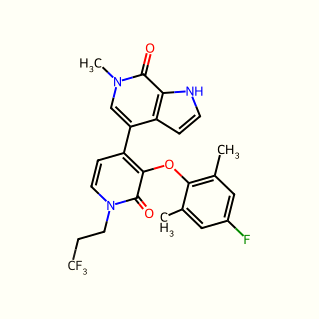 Cc1cc(F)cc(C)c1Oc1c(-c2cn(C)c(=O)c3[nH]ccc23)ccn(CCC(F)(F)F)c1=O